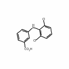 O=C(O)c1cccc(Nc2c(Cl)cccc2Cl)c1